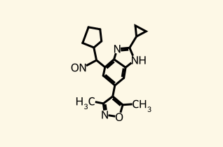 Cc1noc(C)c1-c1cc(C(N=O)C2CCCC2)c2nc(C3CC3)[nH]c2c1